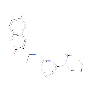 CC(Nc1nccc(N2CCCOC2=O)n1)c1cc2cc(Cl)ccc2[nH]c1=O